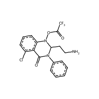 NCCC1N(OC(=O)C(F)(F)F)c2cccc(Cl)c2C(=O)N1c1ccccc1